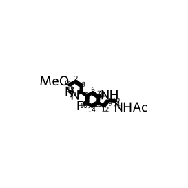 COc1ccc(-c2cc3[nH]c(CNC(C)=O)cc3cc2F)nn1